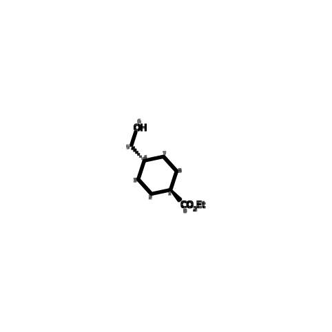 CCOC(=O)[C@H]1CC[C@H](CO)CC1